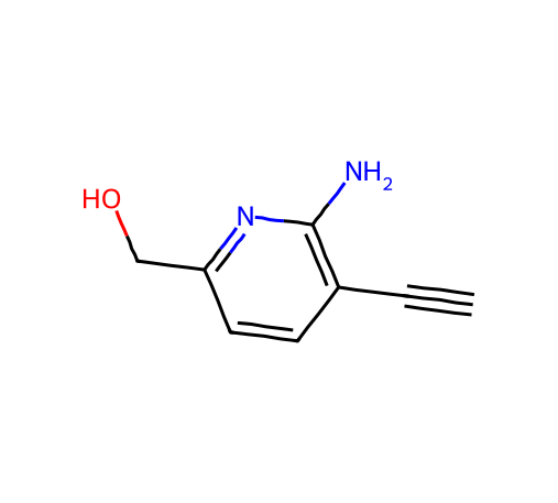 C#Cc1ccc(CO)nc1N